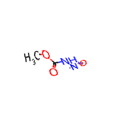 COC(=O)N[N+]=O